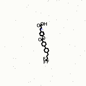 O=C(O)/C=C/c1ccc(OC(=O)C2CCC(C3CCC(CCCC(F)(F)F)CC3)CC2)cc1